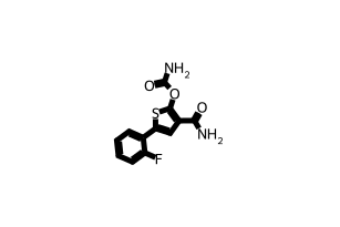 NC(=O)Oc1sc(-c2ccccc2F)cc1C(N)=O